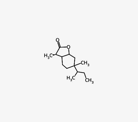 CCC(C)C1(C)CCC2C(C1)OC(=O)[C@@H]2C